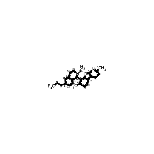 Cc1ccc2c(n1)oc1c(-c3c4ccc(CCC(F)(F)F)cc4cc[n+]3C)c(C)ccc12